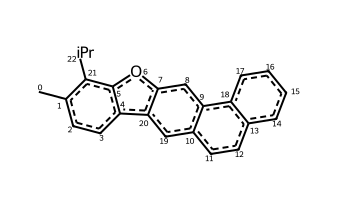 Cc1ccc2c(oc3cc4c(ccc5ccccc54)cc32)c1C(C)C